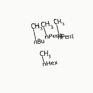 CCCCC.CCCCCC.CCCCCC.CCCCCCC